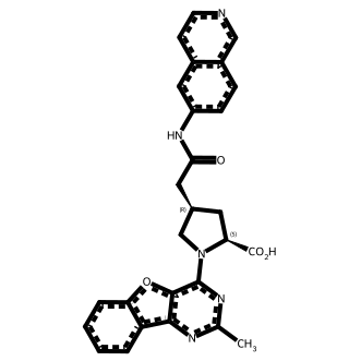 Cc1nc(N2C[C@@H](CC(=O)Nc3ccc4cnccc4c3)C[C@H]2C(=O)O)c2oc3ccccc3c2n1